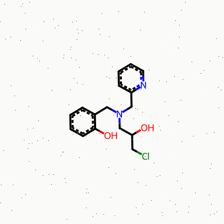 Oc1ccccc1CN(Cc1ccccn1)CC(O)CCl